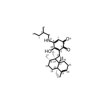 CCC(C)CNC1=CC(=O)C(=O)C(C[C@]2(C)[C@@H](C)CC[C@]3(C)C(C)=CCC[C@@H]23)=C1O